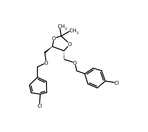 CC1(C)O[C@H](COCc2ccc(Cl)cc2)[C@@H](COCc2ccc(Cl)cc2)O1